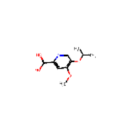 COc1cc(C(O)O)ncc1OC(C)C